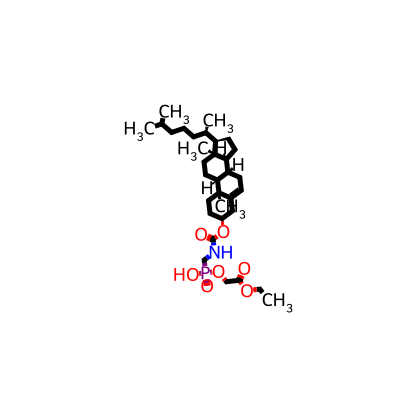 CCOC(=O)COP(=O)(O)CNC(=O)O[C@H]1CC[C@@]2(C)C(=CC[C@H]3[C@@H]4CC[C@H]([C@H](C)CCCC(C)C)[C@@]4(C)CC[C@@H]32)C1